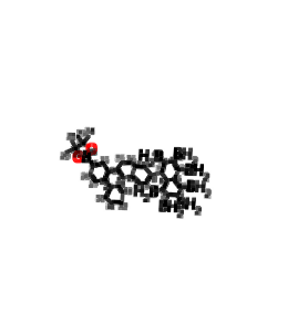 Bc1c(B)c(B)c2c(-c3ccc4cc(-c5cc(B6OC(C)(C)C(C)(C)O6)ccc5-c5ccccc5)ccc4c3)c(B)c(B)c(B)c2c1B